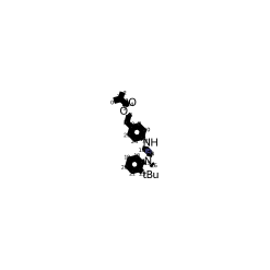 C=C(C)C(=O)OCCc1ccc(N/C=C/N(C)c2ccccc2C(C)(C)C)cc1